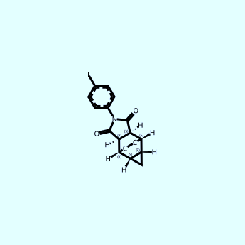 O=C1[C@@H]2[C@@H]3CC[C@@H]([C@@H]4C[C@@H]43)[C@@H]2C(=O)N1c1ccc(I)cc1